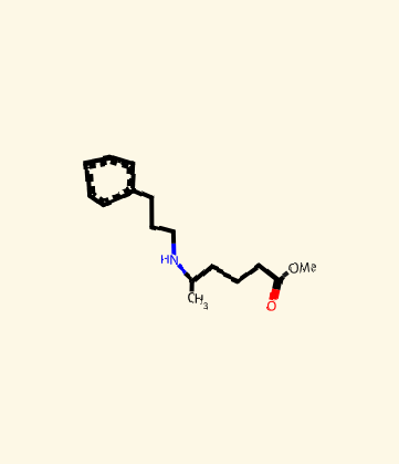 COC(=O)CCCC(C)NCCCc1ccccc1